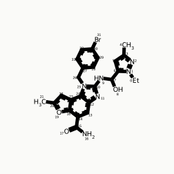 CCn1nc(C)cc1C(O)Nc1nc2cc(C(N)=O)c3oc(C)cc3c2n1Cc1ccc(Br)cc1